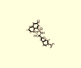 CN(C)c1ccc2cc(C(O)NS(=O)(=O)c3cc(Cl)cc4cccnc34)oc2c1